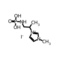 CC(CNP(=O)(O)O)[n+]1ccn(C)c1.[I-]